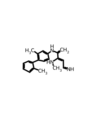 C=C(Nc1ccc(-c2ccccc2C)c(C)c1)/C(=C/C=N)NC